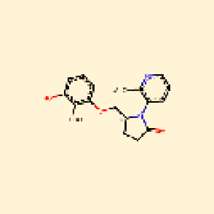 COc1ncccc1N1C(=O)CC[C@H]1COc1cccc(O)c1C=O